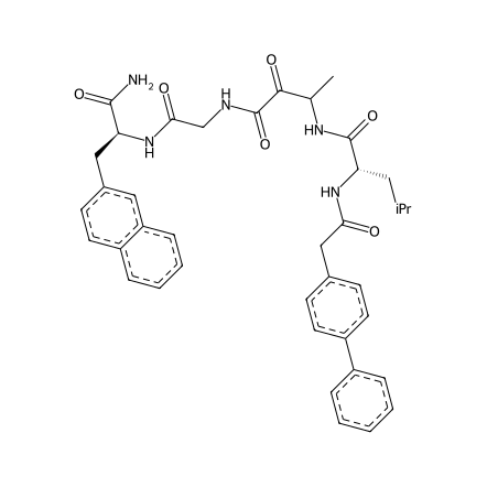 CC(C)C[C@H](NC(=O)Cc1ccc(-c2ccccc2)cc1)C(=O)NC(C)C(=O)C(=O)NCC(=O)N[C@@H](Cc1ccc2ccccc2c1)C(N)=O